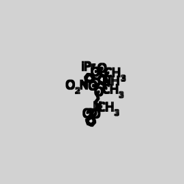 CC1=C(C(=O)OCCCN(C)C2COc3ccccc3O2)C(c2cccc([N+](=O)[O-])c2)C(C(=O)OC(C)C)=C(C)N1